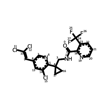 O=C(NCC1(c2ncc(C=C(Cl)Cl)cc2Cl)CC1)c1ncccc1C(F)(F)F